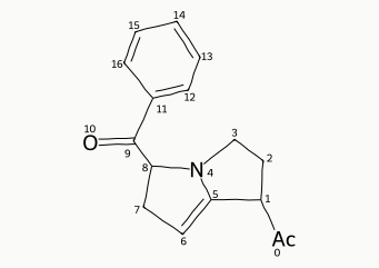 CC(=O)C1CCN2C1=CCC2C(=O)c1ccccc1